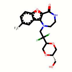 O=C1NCCN(CC(F)(F)C2CO[C@@H](CO)CO2)c2c1oc1ccc(C(F)(F)F)cc21